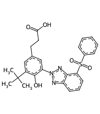 CC(C)(C)c1cc(CCC(=O)O)cc(-n2nc3cccc(S(=O)(=O)c4ccccc4)c3n2)c1O